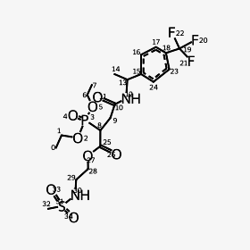 CCOP(=O)(OCC)C(CC(=O)NC(C)c1ccc(C(F)(F)F)cc1)C(=O)OCCNS(C)(=O)=O